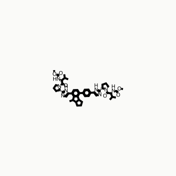 COC(=O)NC(C(=O)N1CCC[C@H]1c1ncc(-c2ccc(-c3ccc(-c4cnc([C@@H]5CCCN5C(=O)[C@@H](NC(=O)OC)C(C)C)[nH]4)c4c3C3CCCC3C4C)cc2)[nH]1)C(C)C